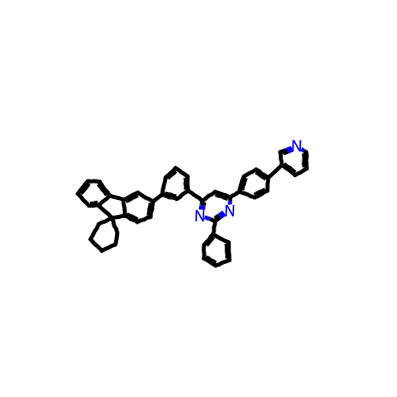 c1ccc(-c2nc(-c3ccc(-c4cccnc4)cc3)cc(-c3cccc(-c4ccc5c(c4)-c4ccccc4C54CCCCC4)c3)n2)cc1